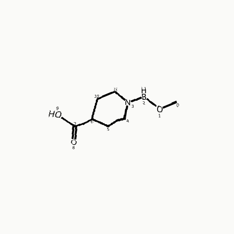 COBN1CCC(C(=O)O)CC1